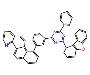 C1=Cc2oc3ccccc3c2C(c2nc(-c3ccccc3)nc(-c3cccc(-c4cccc5ccc6c(ccc7cccnc76)c45)c3)n2)C1